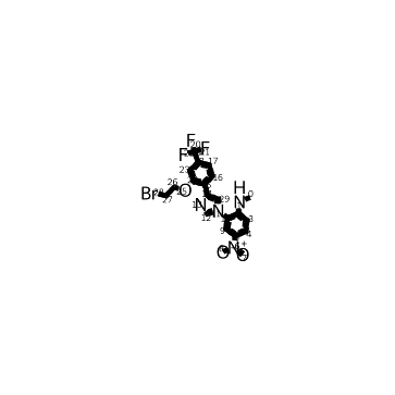 CNc1ccc([N+](=O)[O-])cc1-n1cnc(-c2ccc(C(F)(F)F)cc2OCCBr)c1